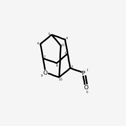 O=PC1C2CC3CC(C2)OC1C3